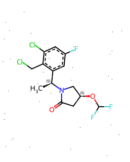 C[C@@H](c1cc(F)cc(Cl)c1CCl)N1C[C@@H](OC(F)F)CC1=O